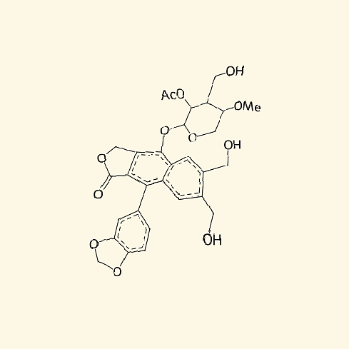 COC1COC(Oc2c3c(c(-c4ccc5c(c4)OCO5)c4cc(CO)c(CO)cc24)C(=O)OC3)C(OC(C)=O)C1CO